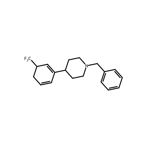 FC(F)(F)C1C=C(C2CCN(Cc3ccccc3)CC2)C=CC1